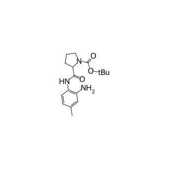 Cc1ccc(NC(=O)C2CCCN2C(=O)OC(C)(C)C)c(N)c1